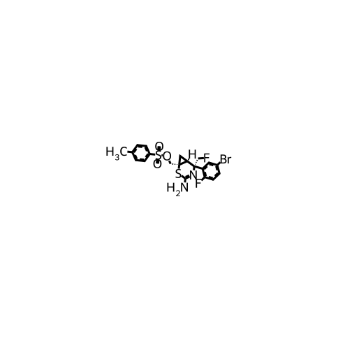 Cc1ccc(S(=O)(=O)OC[C@]23C[C@H]2[C@@](CF)(c2cc(Br)ccc2F)N=C(N)S3)cc1